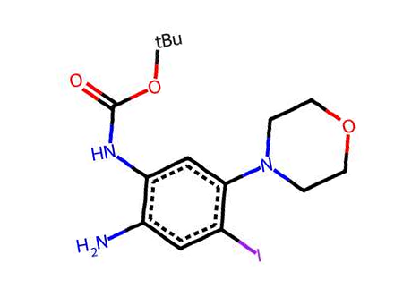 CC(C)(C)OC(=O)Nc1cc(N2CCOCC2)c(I)cc1N